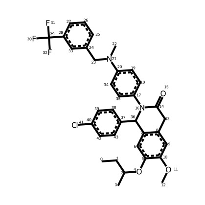 CCC(C)Oc1cc2c(cc1OC)CC(=O)N(c1ccc(N(C)Cc3cccc(C(F)(F)F)c3)cc1)C2c1ccc(Cl)cc1